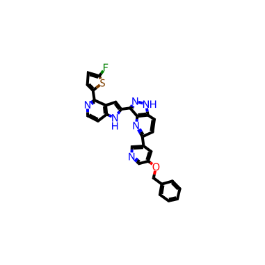 Fc1ccc(-c2nccc3[nH]c(-c4n[nH]c5ccc(-c6cncc(OCc7ccccc7)c6)nc45)cc23)s1